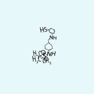 CC(C)(C)S(=O)(=O)NC1CCC(CNc2cccc(S)c2)CC1